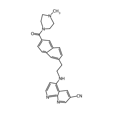 CN1CCN(C(=O)c2ccc3cc(CCNc4ccnc5ncc(C#N)cc45)ccc3c2)CC1